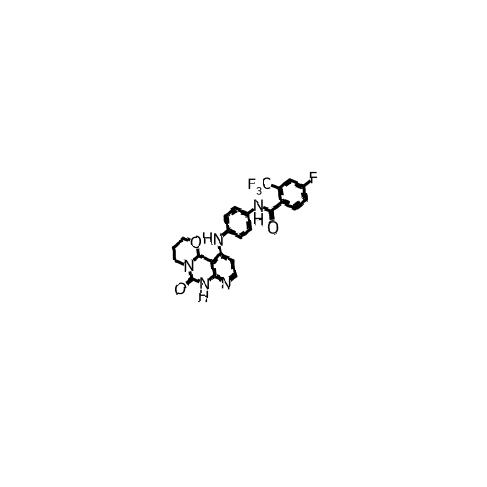 O=C(Nc1ccc(Nc2ccnc3c2C2OCCCN2C(=O)N3)cc1)c1ccc(F)cc1C(F)(F)F